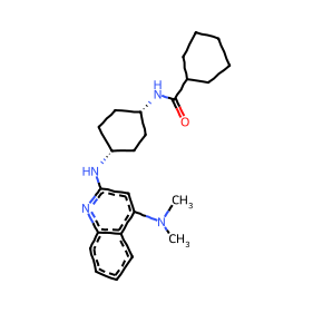 CN(C)c1cc(N[C@H]2CC[C@@H](NC(=O)C3CCCCC3)CC2)nc2ccccc12